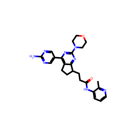 Cc1ncccc1NC(=O)CCC1CCc2c(-c3cnc(N)nc3)nc(N3CCOCC3)nc21